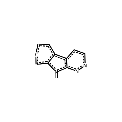 c1ccc2c(c1)[nH]c1nnccc12